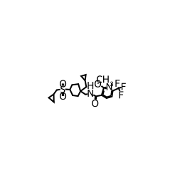 COc1nc(C(F)(F)F)ccc1C(=O)NCC1(CC2CC2)CCC(S(=O)(=O)CC2CC2)CC1